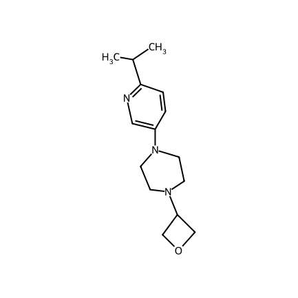 CC(C)c1ccc(N2CCN(C3COC3)CC2)cn1